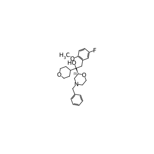 COc1ccc(F)cc1CC(O)(C1CCOCC1)[C@@H]1CN(Cc2ccccc2)CCO1